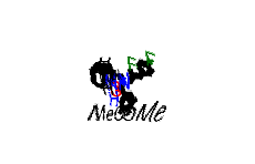 COc1ccc(C(=O)N(CC(C)=Cc2ccc(F)cc2F)C[C@@H]2C[C@@H]3CCCC[C@@H]3N2)cc1OC